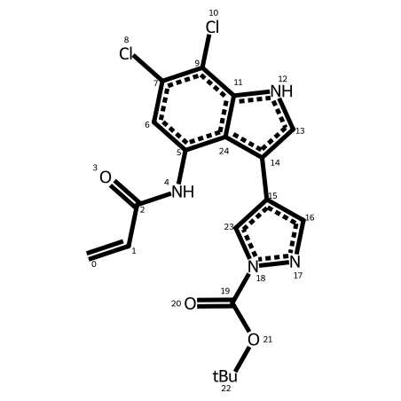 C=CC(=O)Nc1cc(Cl)c(Cl)c2[nH]cc(-c3cnn(C(=O)OC(C)(C)C)c3)c12